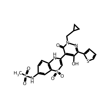 CS(=O)(=O)Nc1ccc2c(c1)S(=O)(=O)C=C(c1c(O)c(-c3cccs3)nn(CC3CC3)c1=O)N2